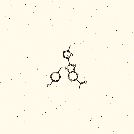 CC(=O)c1ccc2c(c1)nc(-c1ccc(C)o1)n2Cc1ccc(Cl)cc1